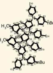 CCCCc1ccc(N(c2ccc(I)cc2)c2cc3c4c(c2)N(c2ccc(I)cc2)c2cc5c(cc2B4c2c(I)cc(C)cc2S3)B2c3c(CCCC)cc(C)cc3Sc3cc(N(c4ccc(I)cc4)c4ccc(CCCC)cc4)cc(c32)N5c2ccc(I)cc2)cc1